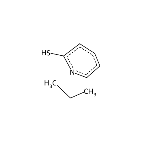 CCC.Sc1ccccn1